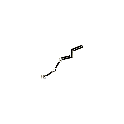 C=C/[C]=N/OS